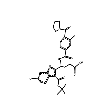 Cc1cc(C(=O)NC(CCC(=O)O)c2nc3cc(Cl)ccc3n2C(=O)OC(C)(C)C)ccc1C(=O)N1CCCC1